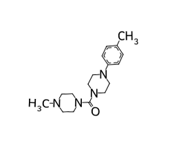 Cc1ccc(N2CCN(C(=O)N3CCN(C)CC3)CC2)cc1